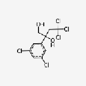 OCC(O)(CC(Cl)(Cl)Cl)c1cc(Cl)cc(Cl)c1